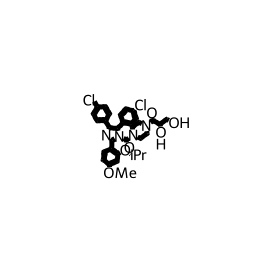 COc1ccc(C2=NC(c3ccc(Cl)cc3)C(c3ccc(Cl)cc3)N2C(=O)N2CCN(C(=O)C(O)CO)CC2)c(OC(C)C)c1